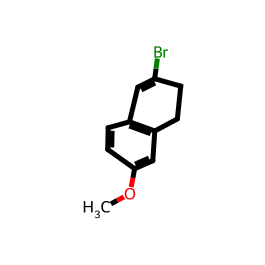 COc1ccc2c(c1)CCC(Br)=C2